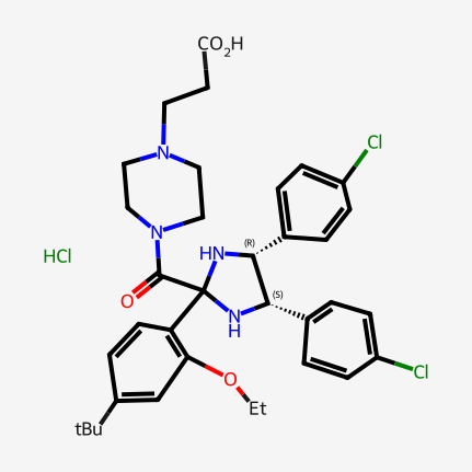 CCOc1cc(C(C)(C)C)ccc1C1(C(=O)N2CCN(CCC(=O)O)CC2)N[C@H](c2ccc(Cl)cc2)[C@H](c2ccc(Cl)cc2)N1.Cl